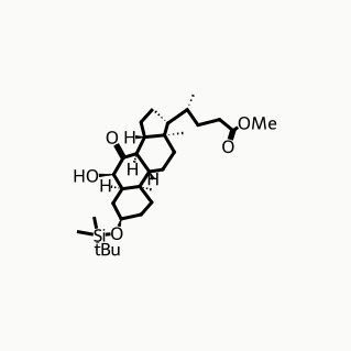 COC(=O)CC[C@@H](C)[C@H]1CC[C@H]2[C@@H]3C(=O)[C@H](O)[C@@H]4C[C@H](O[Si](C)(C)C(C)(C)C)CC[C@]4(C)[C@H]3CC[C@]12C